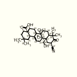 CC1(C)CC[C@]2(C(=O)O)CC[C@]3(C)C(=CCC4[C@@]5(CO)CC(C#N)C(=O)C(C)(C)C5CC[C@]43C)C2C1